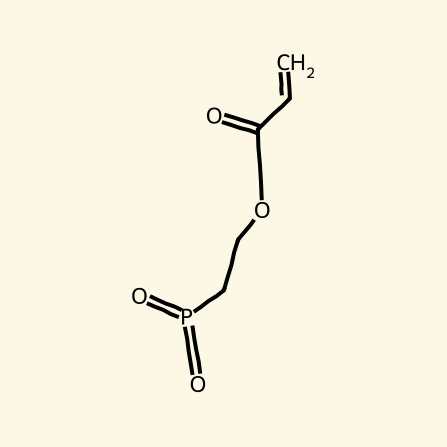 C=CC(=O)OCCP(=O)=O